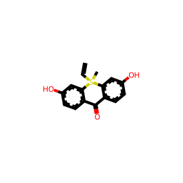 C=CS1(C)c2cc(O)ccc2C(=O)c2ccc(O)cc21